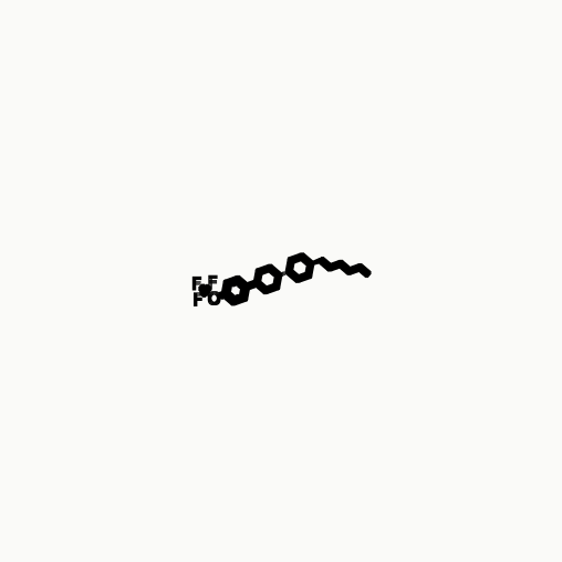 CCCCCC[C@H]1CC[C@H](C2CCC(c3ccc(OC(F)(F)F)cc3)CC2)CC1